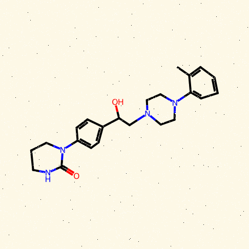 Cc1ccccc1N1CCN(CC(O)c2ccc(N3CCCNC3=O)cc2)CC1